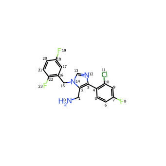 NCc1c(-c2ccc(F)cc2Cl)ncn1Cc1cc(F)ccc1F